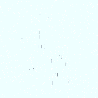 [C-]#[N+]c1cnn(-c2ncccn2)c1/N=N/c1cc2ccccc2c(C(=O)Nc2c(F)cccc2F)c1O